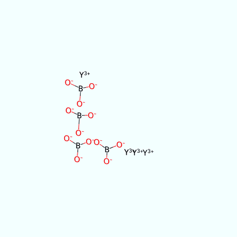 [O-]B([O-])[O-].[O-]B([O-])[O-].[O-]B([O-])[O-].[O-]B([O-])[O-].[Y+3].[Y+3].[Y+3].[Y+3]